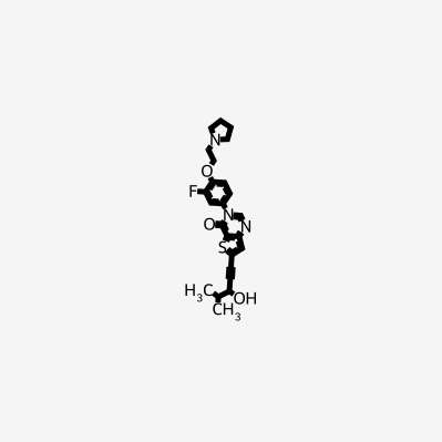 CC(C)C(O)C#Cc1cc2ncn(-c3ccc(OCCN4CCCC4)c(F)c3)c(=O)c2s1